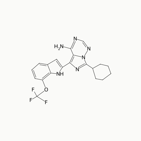 Nc1ncnn2c(C3CCCCC3)nc(-c3cc4cccc(OC(F)(F)F)c4[nH]3)c12